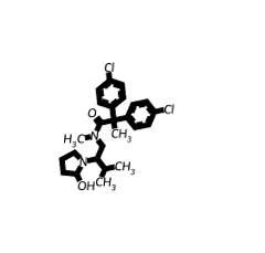 CC(C)C(CN(C)C(=O)C(C)(c1ccc(Cl)cc1)c1ccc(Cl)cc1)N1CCCC1O